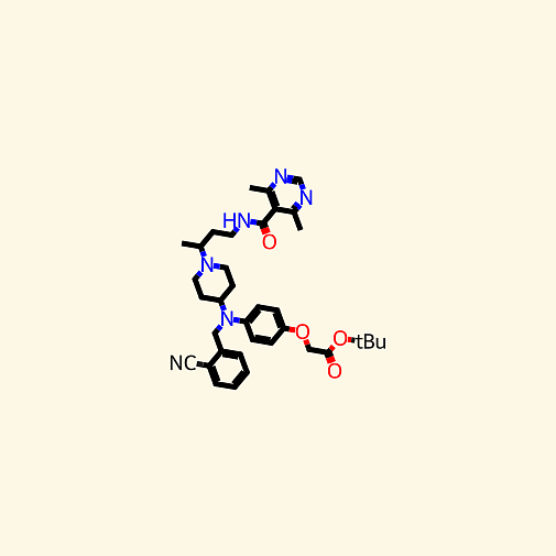 Cc1ncnc(C)c1C(=O)NCCC(C)N1CCC(N(Cc2ccccc2C#N)c2ccc(OCC(=O)OC(C)(C)C)cc2)CC1